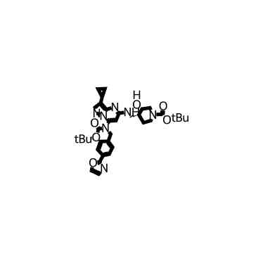 CC(C)(C)OC(=O)N1CC[C@H](CNc2cc(N(Cc3ccc(-c4ncco4)cc3)C(=O)OC(C)(C)C)n3ncc(C4CC4)c3n2)[C@@H](O)C1